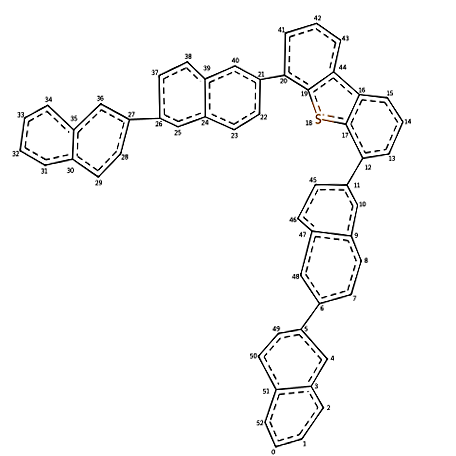 c1ccc2cc(-c3ccc4cc(-c5cccc6c5sc5c(-c7ccc8cc(-c9ccc%10ccccc%10c9)ccc8c7)cccc56)ccc4c3)ccc2c1